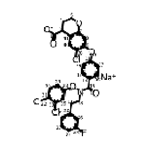 O=C([O-])C1CCOc2cc(Oc3ccc(C(=O)N(CCc4cccc(F)c4)Oc4ccc(Cl)c(Cl)c4)cc3)c(Cl)cc21.[Na+]